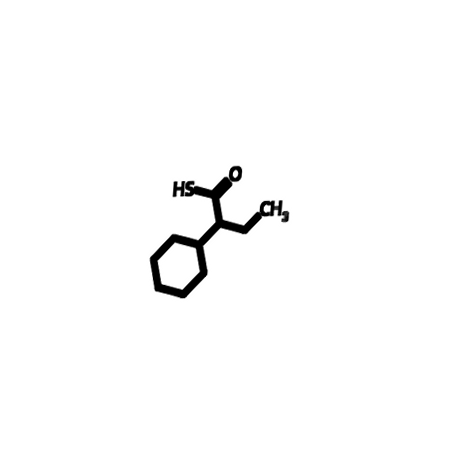 CCC(C(=O)S)C1CCCCC1